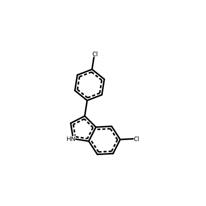 Clc1ccc(-c2c[nH]c3ccc(Cl)cc23)cc1